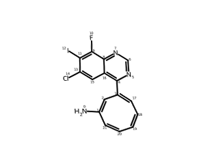 NC1=C/C(c2ncnc3c(F)c(I)c(Cl)cc23)=C\C=C/C=C\1